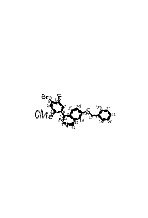 COc1cc(Br)c(F)cc1-c1nncc2cc(SCc3ccccc3)ccc12